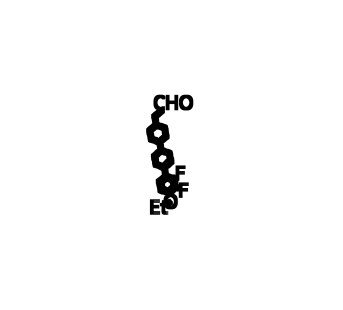 CCOc1ccc(C2=CCC(C3CCC(CCC=O)CC3)CC2)c(F)c1F